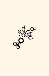 CC[Si](CC)(CC)OC(CCOF)NS(=O)(=O)Cc1cccc([N+](=O)[O-])c1